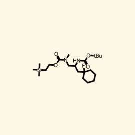 CN(CC(CC1(F)CCCCC1)NC(=O)OC(C)(C)C)C(=O)OCC[Si](C)(C)C